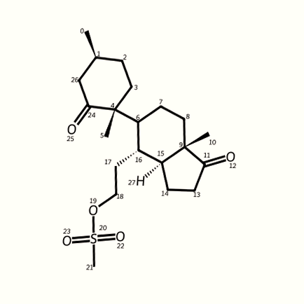 C[C@H]1CC[C@](C)(C2CC[C@]3(C)C(=O)CC[C@H]3[C@@H]2CCOS(C)(=O)=O)C(=O)C1